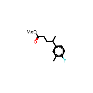 COC(=O)CCC(C)c1ccc(F)c(C)c1